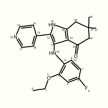 CCOc1cc(F)ccc1Nc1c(-c2ccncc2)[nH]c2c1C(=O)CC(C)(C)C2